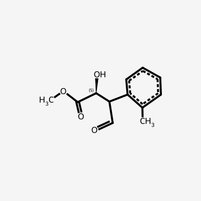 COC(=O)[C@@H](O)C(C=O)c1ccccc1C